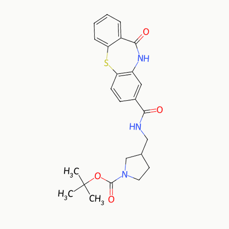 CC(C)(C)OC(=O)N1CCC(CNC(=O)c2ccc3c(c2)NC(=O)c2ccccc2S3)C1